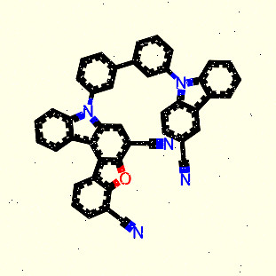 N#Cc1ccc2c(c1)c1ccccc1n2-c1cccc(-c2cccc(-n3c4ccccc4c4c5c(oc6c(C#N)cccc65)c(C#N)cc43)c2)c1